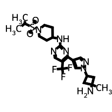 CC(C)S(=O)(=O)N1CCC(Nc2ncc(C(F)(F)F)c(-c3cnn(C4CC(C)(N)C4)c3)n2)CC1